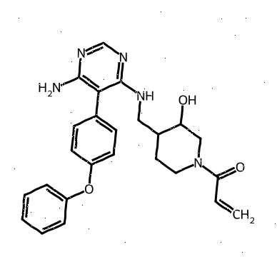 C=CC(=O)N1CCC(CNc2ncnc(N)c2-c2ccc(Oc3ccccc3)cc2)C(O)C1